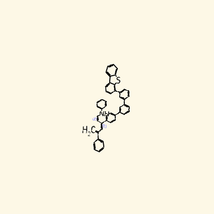 C=C(/C=C(\C=C/Nc1ccccc1)c1ccc(-c2cccc(-c3cccc(-c4cccc5c4sc4ccccc45)c3)c2)cc1)c1ccccc1